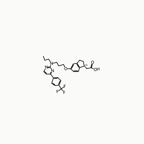 CCCN(CCCOc1ccc2c(c1)CC[C@H]2CC(=O)O)c1nccc(-c2ccc(C(F)(F)F)cc2)n1